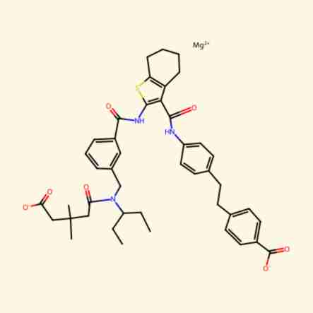 CCC(CC)N(Cc1cccc(C(=O)Nc2sc3c(c2C(=O)Nc2ccc(CCc4ccc(C(=O)[O-])cc4)cc2)CCCC3)c1)C(=O)CC(C)(C)CC(=O)[O-].[Mg+2]